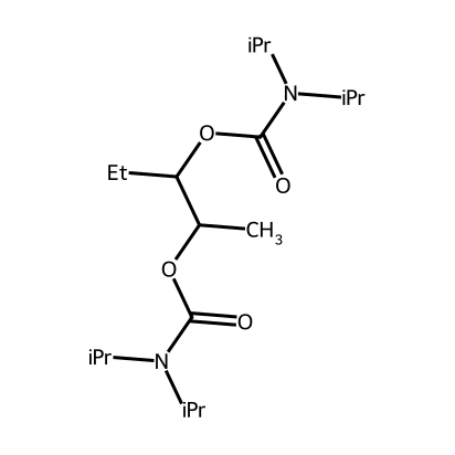 CCC(OC(=O)N(C(C)C)C(C)C)C(C)OC(=O)N(C(C)C)C(C)C